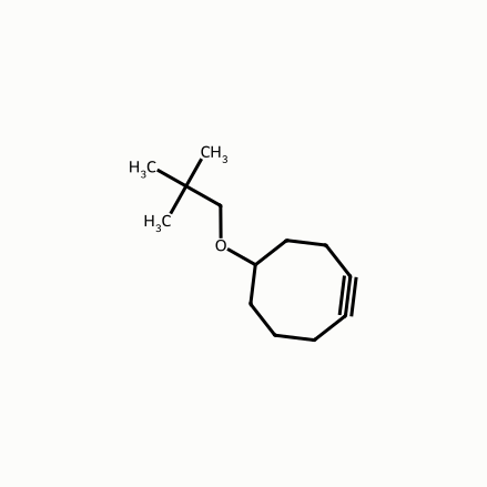 CC(C)(C)COC1CCC#CCCC1